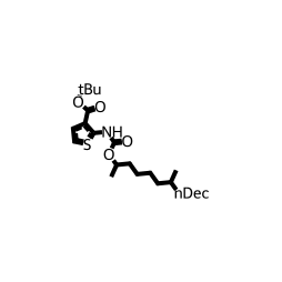 CCCCCCCCCCC(C)CCCCC(C)OC(=O)Nc1sccc1C(=O)OC(C)(C)C